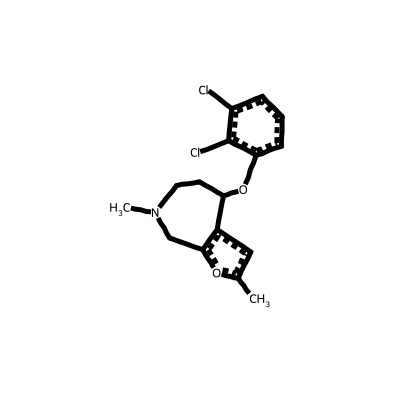 Cc1cc2c(o1)CN(C)CCC2Oc1cccc(Cl)c1Cl